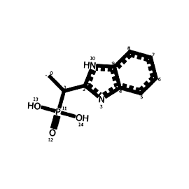 [CH2]C(c1nc2ccccc2[nH]1)P(=O)(O)O